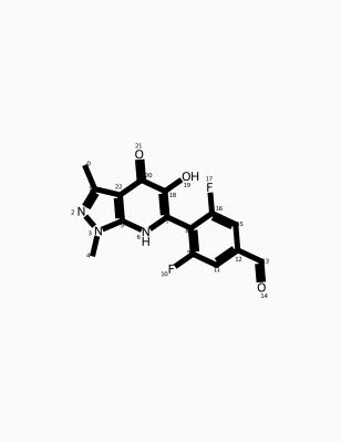 Cc1nn(C)c2[nH]c(-c3c(F)cc(C=O)cc3F)c(O)c(=O)c12